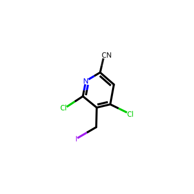 N#Cc1cc(Cl)c(CI)c(Cl)n1